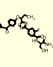 CCC(Oc1ccc(C(=O)C2CC2)cc1)c1nc(-c2ccc(C(=O)NC(CO)C(N)=O)c(F)c2)no1